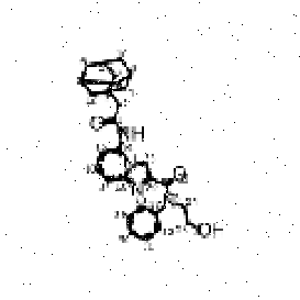 O=C(CC12CC3CC(CC(C3)C1)C2)Nc1cccc2nc(C(=O)N(CCO)c3ccccc3)cn12